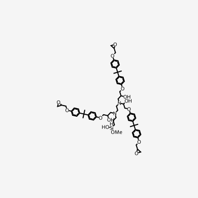 CO[SiH](O)CCCN(CCN(CC(O)COc1ccc(C(C)(C)c2ccc(OCC3CO3)cc2)cc1)C(O)COc1ccc(C(C)(C)c2ccc(OCC3CO3)cc2)cc1)CC(O)COc1ccc(C(C)(C)c2ccc(OCC3CO3)cc2)cc1